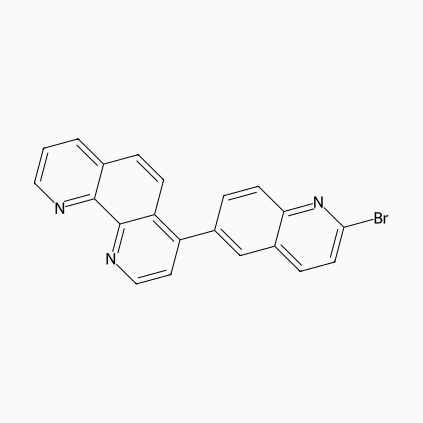 Brc1ccc2cc(-c3ccnc4c3ccc3cccnc34)ccc2n1